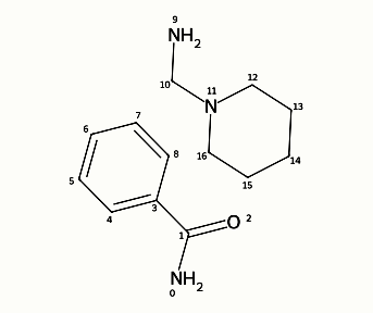 NC(=O)c1ccccc1.NCN1CCCCC1